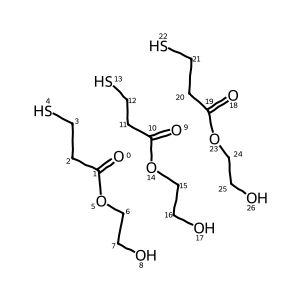 O=C(CCS)OCCO.O=C(CCS)OCCO.O=C(CCS)OCCO